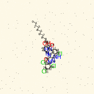 CCCCCCCCCCCCCC(=O)Nc1ccc(Cl)c(NC2=NN(c3c(Cl)cc(Cl)cc3Cl)C(=O)C2N=Nc2ccc(O)cc2)c1